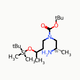 CC(CCN(C[C@H](C)N)C(=O)OC(C)(C)C)O[Si](C)(C)C(C)(C)C